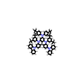 CC(C)(C)c1ccc(N(c2ccc(C(C)(C)C)cc2)c2cc3c4c(c2)N(c2cc(C(C)(C)C)cc(C(C)(C)C)c2)c2cc(-n5c6ccccc6c6ccccc65)ccc2B4c2ccc(-n4c5ccccc5c5ccccc54)cc2N3c2cc(C(C)(C)C)cc(C(C)(C)C)c2)cc1